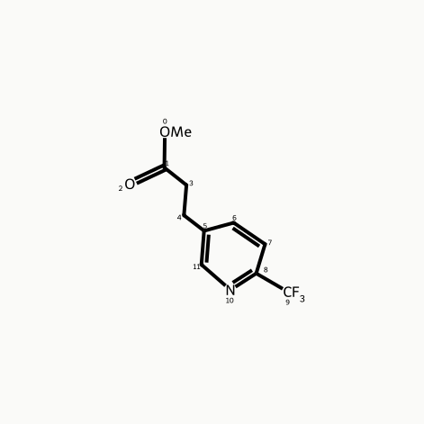 COC(=O)CCc1ccc(C(F)(F)F)nc1